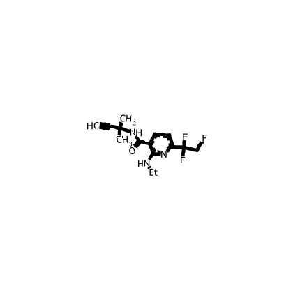 C#CC(C)(C)NC(=O)c1ccc(C(F)(F)CF)nc1NCC